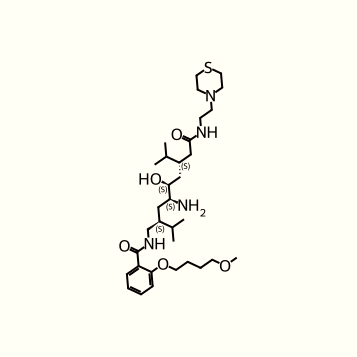 COCCCCOc1ccccc1C(=O)NC[C@@H](C[C@H](N)[C@@H](O)C[C@@H](CC(=O)NCCN1CCSCC1)C(C)C)C(C)C